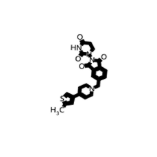 Cc1cc(C2=CCN(Cc3ccc4c(c3)C(=O)N(N3CCC(=O)NC3=O)C4=O)CC2)cs1